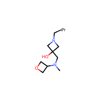 CC(C)CN1CC(O)(CN(C)C2COC2)C1